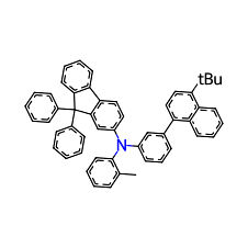 Cc1ccccc1N(c1cccc(-c2ccc(C(C)(C)C)c3ccccc23)c1)c1ccc2c(c1)C(c1ccccc1)(c1ccccc1)c1ccccc1-2